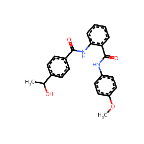 COc1ccc(NC(=O)c2ccccc2NC(=O)c2ccc(C(C)O)cc2)cc1